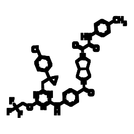 Cc1ccc(NC(=O)C(=O)N2CC3CN(C(=O)c4ccc(Nc5nc(CC6(c7ccc(Cl)cc7)CC6)nc(OCC(F)(F)F)n5)cc4)CC3C2)cc1